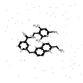 Cc1cc(N)nc(C)c1CNC(=O)c1ccnc(Cc2ccc3nc(CN)ccc3c2)c1